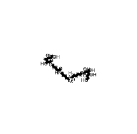 CC(=O)[C@@H](CCCCNC(=O)CCCCOC1OC(CO)C(O)C(C)C1O)NC(=O)CCCCOC1OC(CO)C(O)C(O)C1O